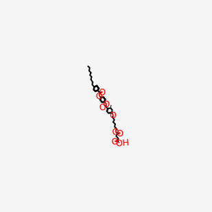 CCCCCCCCCc1ccc(C(=O)Oc2ccc(OC(=O)C3=CC=C(OCCCCCCOC(=O)CCC(=O)O)C[C@@H]3C)cc2)cc1